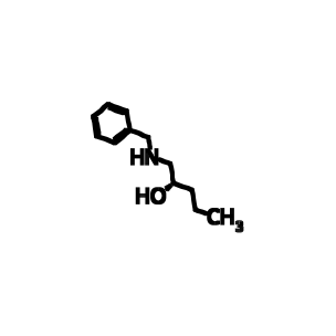 CCC[C@@H](O)CNCc1ccccc1